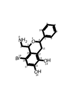 NCC1OC(c2ccccc2)Cc2c(O)c(O)cc(Br)c21